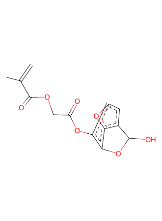 C=C(C)C(=O)OCC(=O)Oc1c2c3oc1cc3C(O)O2